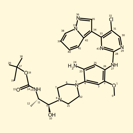 COc1cc(N2CCN([C@@H](O)[C@H](C)NC(=O)OC(C)(C)C)CC2)c(N)cc1Nc1ncc(Cl)c(-c2cnn3ccccc23)n1